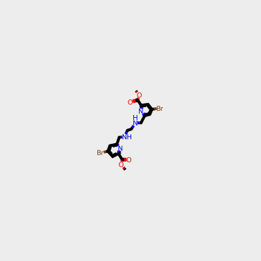 COC(=O)c1cc(Br)cc(CNCCNCc2cc(Br)cc(C(=O)OC)n2)n1